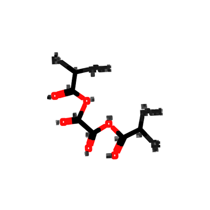 CCCCCC(CC)C(=O)OC(=O)C(=O)OC(=O)C(CC)CCCCC